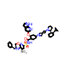 O=C(NS(=O)(=O)c1cc([N+](=O)[O-])c2c(n1)OC[C@H](Cc1ccccc1)N2)c1ccc(N2CC3(CC(N4CCC[C@H]4c4ccccc4C4CC4)C3)C2)cc1Oc1cnc2[nH]ccc2c1